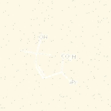 CC(C)C(/C=C\C(C)(C)O)C(=O)O